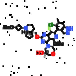 COc1nc(-c2c(Cl)c(C)cc3[nH]ncc23)c(F)c2nc(OC[C@]34CCC[C@H]3N(C3CC(OC)C3)CCC4)nc(N3CCOC[C@@](C)(O)C3)c12